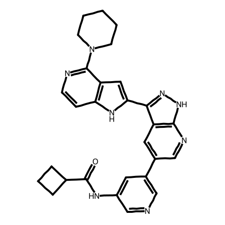 O=C(Nc1cncc(-c2cnc3[nH]nc(-c4cc5c(N6CCCCC6)nccc5[nH]4)c3c2)c1)C1CCC1